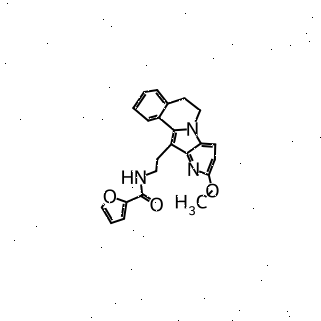 COc1ccc2c(n1)c(CCNC(=O)c1ccco1)c1n2CCc2ccccc2-1